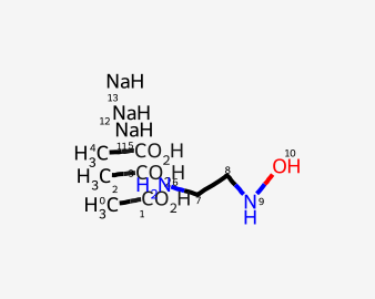 CC(=O)O.CC(=O)O.CC(=O)O.NCCNO.[NaH].[NaH].[NaH]